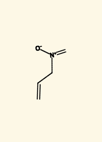 C=CC[N+](=C)[O-]